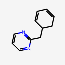 C1=CCC(Cc2ncccn2)C=C1